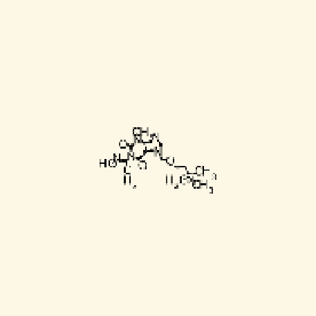 C/C(=N\O)n1c(=O)c2c(ncn2COCC[Si](C)(C)C)n(C)c1=O